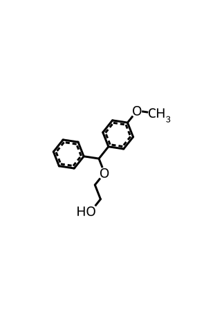 COc1ccc(C(OCCO)c2ccccc2)cc1